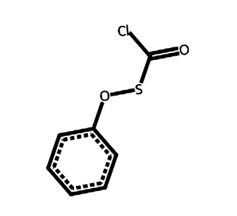 O=C(Cl)SOc1ccccc1